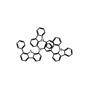 c1ccc(-c2cccc3c2sc2c(N(c4cccc(-c5cccc6c7ccccc7n(-c7ccccc7)c56)c4)c4cccc5c6ccccc6n(-c6ccccc6)c45)cccc23)cc1